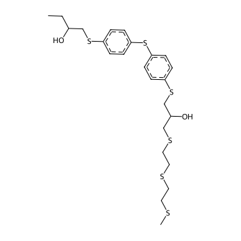 CCC(O)CSc1ccc(Sc2ccc(SCC(O)CSCCSCCSC)cc2)cc1